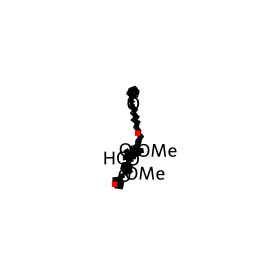 COc1cc2oc(-c3ccc(OCc4ccccc4)c(OC)c3)c(O)c(=O)c2cc1C#CCCCCCCCCCCOCc1ccccc1